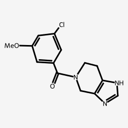 COc1cc(Cl)cc(C(=O)N2CCc3[nH]cnc3C2)c1